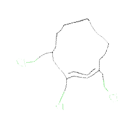 ClC1=C(Cl)C(Cl)CCC1